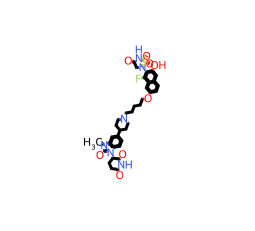 Cn1c(=O)n(C2CCC(=O)NC2=O)c2ccc(C3CCN(CCCCCOc4ccc5cc(O)c(N6CC(=O)NS6(=O)=O)c(F)c5c4)CC3)cc21